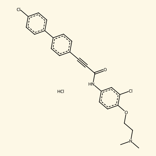 CN(C)CCOc1ccc(NC(=O)C#Cc2ccc(-c3ccc(Cl)cc3)cc2)cc1Cl.Cl